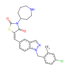 O=C1SC(=Cc2ccc3c(cnn3Cc3ccc(Cl)cc3C(F)(F)F)c2)C(=O)N1C1CCCNCC1